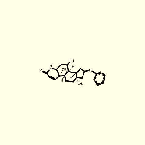 CC1CC2NC(=O)C=C[C@]2(C)[C@@H]2CC[C@]3(C)CC(Oc4ncccn4)C[C@H]3[C@H]12